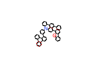 c1ccc(-c2ccc(-c3ccccc3N(c3ccc(-c4cccc5c4oc4ccccc45)cc3)c3cccc(-c4cccc(-c5ccccc5)c4-c4ccccc4-c4ccccc4)c3)cc2)cc1